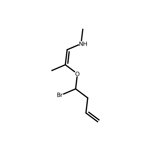 C=CCC(Br)O/C(C)=C\NC